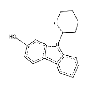 Oc1ccc2c3ccccc3n(C3CCCCO3)c2c1